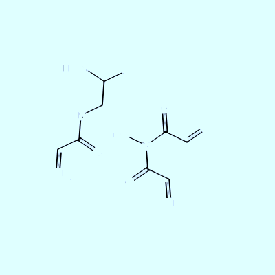 C=CC(=O)N(C(=O)C=C)C(C)(C)C.C=CC(=O)NCC(CC)S(=O)(=O)O